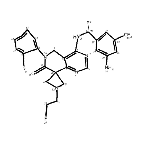 C[C@@H](Nc1ncnc2c1CN(c1ccccc1F)C(=O)C21CN(CCF)C1)c1cc(N)cc(C(F)(F)F)c1